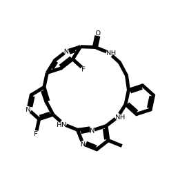 Cc1cnc2nc1Nc1ccccc1CCNC(=O)c1ncc(cc1F)-c1cnc(F)c(c1)N2